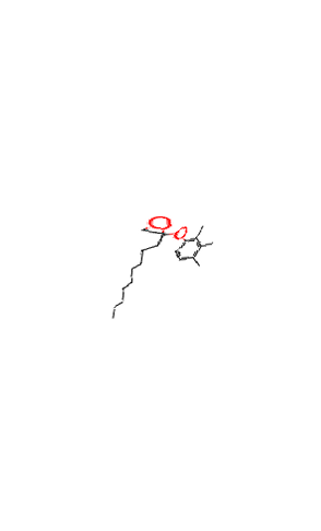 CCCCCCCCCC1(Oc2ccc(C)c(C)c2C)CO1